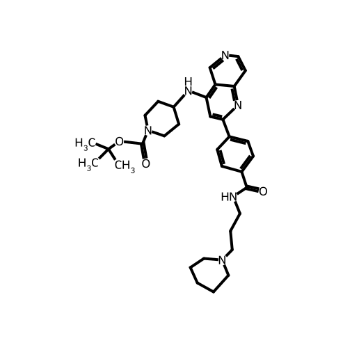 CC(C)(C)OC(=O)N1CCC(Nc2cc(-c3ccc(C(=O)NCCCN4CCCCC4)cc3)nc3ccncc23)CC1